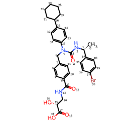 C[C@@H](NC(=O)N(Cc1ccc(C(=O)NC[C@@H](O)C(=O)O)cc1)c1ccc(C2CCCCC2)cc1)c1ccc(Br)cc1